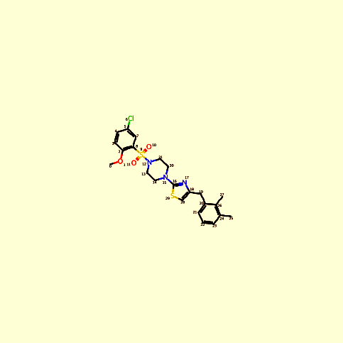 COc1ccc(Cl)cc1S(=O)(=O)N1CCN(c2nc(Cc3cccc(C)c3C)cs2)CC1